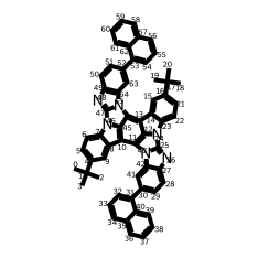 CC(C)(C)c1ccc2c(c1)c1c3c4c(c5cc(C(C)(C)C)ccc5n4c4nc5ccc(-c6cccc7ccccc67)cc5n34)c3c1n2c1nc2ccc(-c4cccc5ccccc45)cc2n31